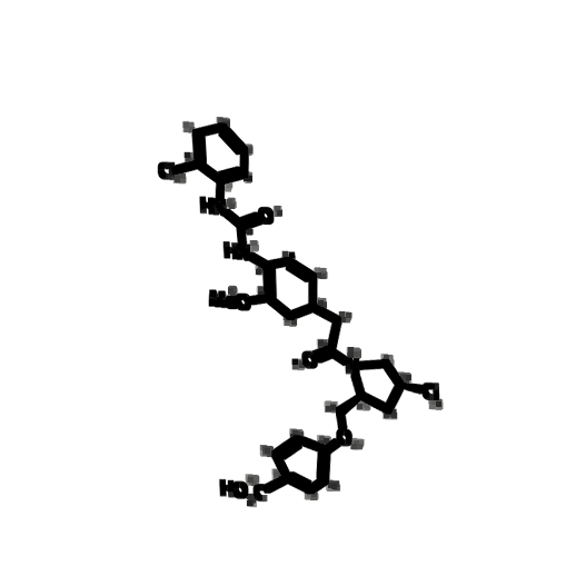 COC1=C(NC(=O)Nc2ccccc2Cl)C=CC(CC(=O)N2C[C@@H](Cl)C[C@H]2COc2ccc(C(=O)O)cc2)C1